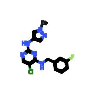 [CH2][CH]n1cc(Nc2ncc(Cl)c(NCc3cccc(F)c3)n2)cn1